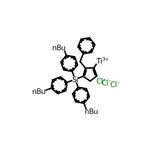 CCCCc1ccc([Si](C2=C(Cc3ccccc3)[C]([Ti+3])=CC2)(c2ccc(CCCC)cc2)c2ccc(CCCC)cc2)cc1.[Cl-].[Cl-].[Cl-]